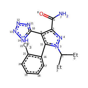 CCC(CC)n1nc(C(N)=O)c(-c2nnn[nH]2)c1-c1ccccc1C(F)(F)F